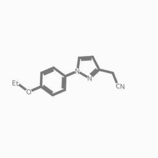 CCOc1ccc(-n2ccc(CC#N)n2)cc1